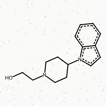 OCCN1CCC(n2ccc3ccccc32)CC1